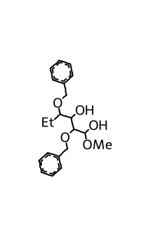 CCC(OCc1ccccc1)C(O)C(OCc1ccccc1)C(O)OC